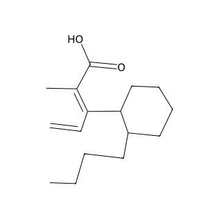 C=CC(=C(C)C(=O)O)C1CCCCC1CCCC